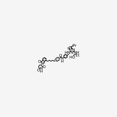 CC[C@@H](CO)Nc1nc(NCc2ccc(NC(=O)N3CCN(CCCCCc4cccc5c4CN(C4CCC(=O)NC4=O)C5=O)CC3)cc2)n2ncc(C(C)C)c2n1